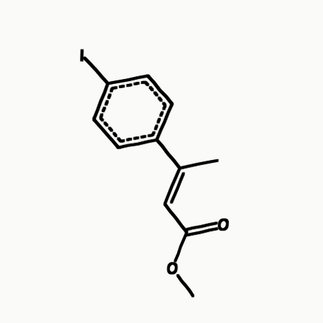 COC(=O)/C=C(\C)c1ccc(I)cc1